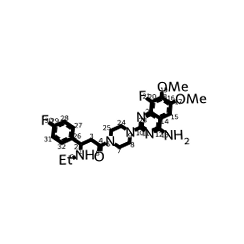 CCNC(CC(=O)N1CCN(c2nc(N)c3cc(OC)c(OC)c(F)c3n2)CC1)c1ccc(F)cc1